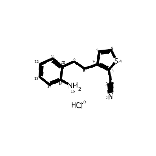 Cl.N#Cc1sccc1CCc1ccccc1N